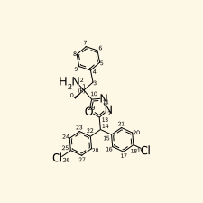 C[C@@](N)(Cc1ccccc1)c1nnc(C(c2ccc(Cl)cc2)c2ccc(Cl)cc2)o1